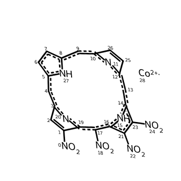 O=[N+]([O-])C1=Cc2cc3ccc(cc4nc(cc5[nH]c(c([N+](=O)[O-])c1n2)c([N+](=O)[O-])c5[N+](=O)[O-])C=C4)[nH]3.[Co+2]